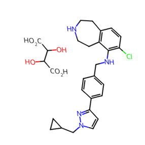 Clc1ccc2c(c1NCc1ccc(-c3ccn(CC4CC4)n3)cc1)CCNCC2.O=C(O)C(O)C(O)C(=O)O